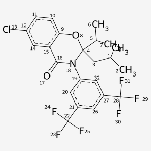 CC(C)CC1(C(C)C)Oc2ccc(Cl)cc2C(=O)N1c1cc(C(F)(F)F)cc(C(F)(F)F)c1